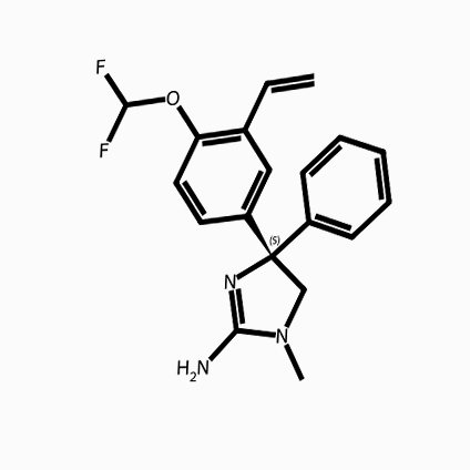 C=Cc1cc([C@@]2(c3ccccc3)CN(C)C(N)=N2)ccc1OC(F)F